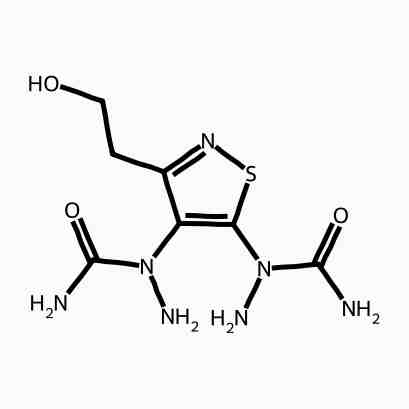 NC(=O)N(N)c1snc(CCO)c1N(N)C(N)=O